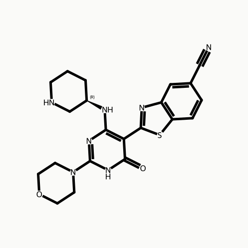 N#Cc1ccc2sc(-c3c(N[C@@H]4CCCNC4)nc(N4CCOCC4)[nH]c3=O)nc2c1